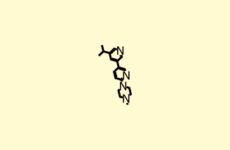 CC(C)c1cncc(-c2ccc(N3CCN(C)CC3)nc2)c1